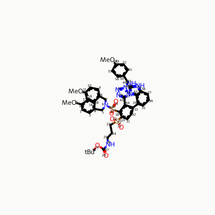 COc1ccc(CN(Cc2ccc(OC)cc2)S(=O)(=O)c2c(S(=O)(=O)CCCNC(=O)OC(C)(C)C)ccc(-c3cccc4[nH]c(N)nc34)c2-c2nnn(Cc3ccc(OC)cc3)n2)cc1